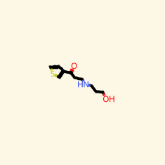 O=C(CCNCCCO)c1ccsc1